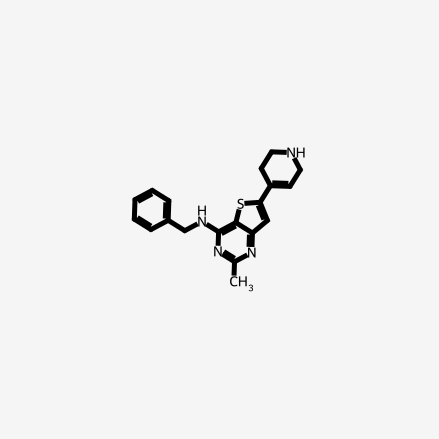 Cc1nc(NCc2ccccc2)c2sc(C3=CCNCC3)cc2n1